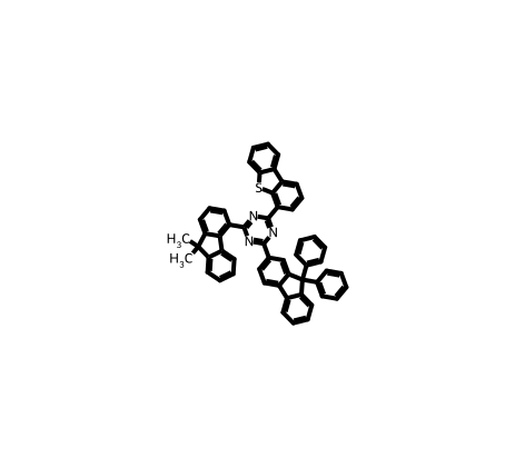 CC1(C)c2ccccc2-c2c(-c3nc(-c4ccc5c(c4)C(c4ccccc4)(c4ccccc4)c4ccccc4-5)nc(-c4cccc5c4sc4ccccc45)n3)cccc21